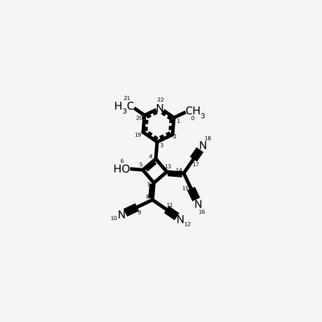 Cc1cc(C2=C(O)C(=C(C#N)C#N)C2=C(C#N)C#N)cc(C)n1